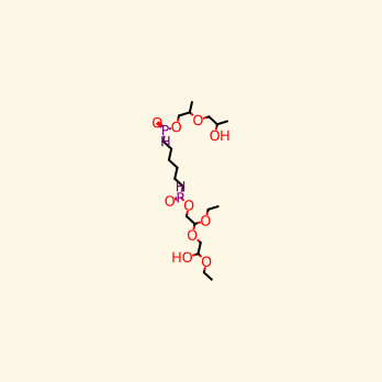 CCOC(O)COC(CO[PH](=O)CCCCCC[PH](=O)OCC(C)OCC(C)O)OCC